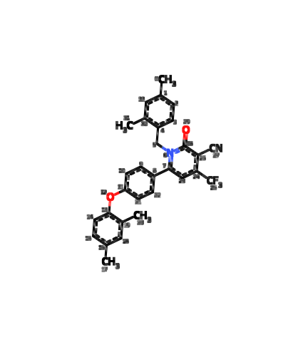 Cc1ccc(Cn2c(-c3ccc(Oc4ccc(C)cc4C)cc3)cc(C(F)(F)F)c(C#N)c2=O)c(C)c1